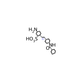 Nc1ccc(/C=C/c2ccc(NC(=O)c3ccccc3)cc2)c(S(=O)(=O)O)c1